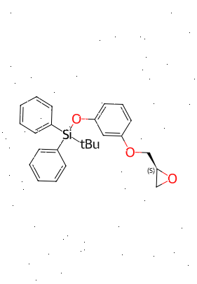 CC(C)(C)[Si](Oc1cccc(OC[C@@H]2CO2)c1)(c1ccccc1)c1ccccc1